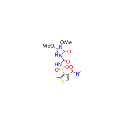 COc1nn(C(=O)NS(=O)(=O)c2c(C(=O)N(C)C)csc2C)c(=O)n1OC